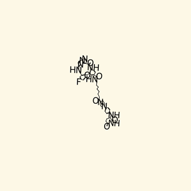 O=C1CCC(Nc2ccc(N3CCN(C(=O)CCCCCCCNC(=O)c4ccc5c(c4)Oc4ccc(F)cc4CNc4ccn6ncc(c6n4)C(=O)N5)CC3)cc2)C(=O)N1